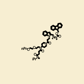 CCCOCCOCCN(C(=O)CCC(=O)N(C)C(C)C)C1CCN(C(=O)CCn2c(CN(C)N(C)C(=O)OCC3c4ccccc4-c4ccccc43)cc3ccccc32)CC1